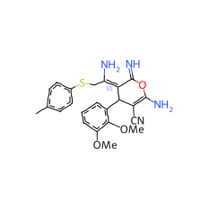 COc1cccc(C2C(C#N)=C(N)OC(=N)/C2=C(\N)CSc2ccc(C)cc2)c1OC